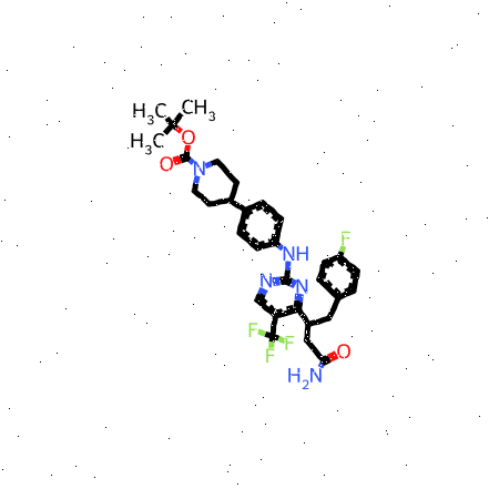 CC(C)(C)OC(=O)N1CCC(c2ccc(Nc3ncc(C(F)(F)F)c(C(CC(N)=O)Cc4ccc(F)cc4)n3)cc2)CC1